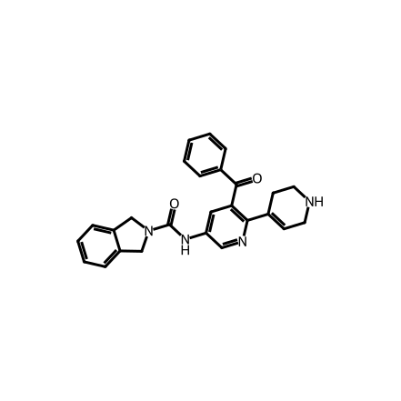 O=C(c1ccccc1)c1cc(NC(=O)N2Cc3ccccc3C2)cnc1C1=CCNCC1